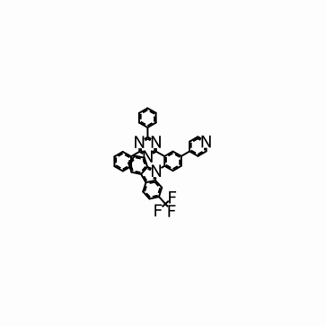 FC(F)(F)c1ccc2c3ccccc3n(-c3ccc(-c4ccncc4)cc3-c3nc(-c4ccccc4)nc(-c4ccccc4)n3)c2c1